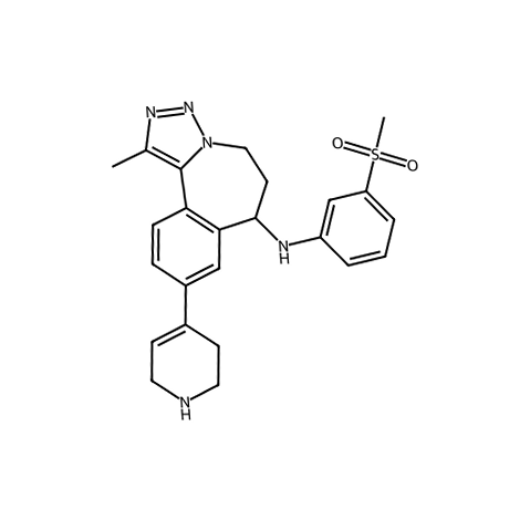 Cc1nnn2c1-c1ccc(C3=CCNCC3)cc1C(Nc1cccc(S(C)(=O)=O)c1)CC2